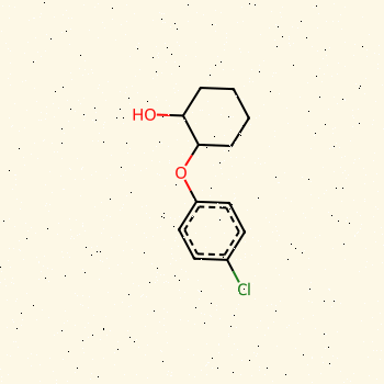 OC1CCCCC1Oc1ccc(Cl)cc1